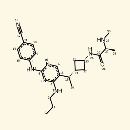 CCCNc1nc(Nc2ccc(C#N)cc2)ncc1C(C)[C@H]1C[C@@H](NC(=O)[C@H](C)NC)C1